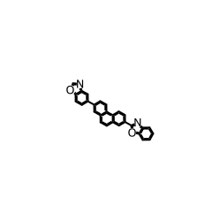 c1ccc2oc(-c3ccc4c(ccc5cc(-c6ccc7ocnc7c6)ccc54)c3)nc2c1